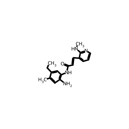 CCc1cc(NC(=O)/C=C/c2cccnc2NC)c(N)cc1C